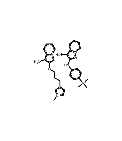 C[N+](C)(C)c1ccc(Nc2nn3ccccc3c2N)cc1.C[n+]1ccn(CCCOc2nn3ccccc3c2N)c1